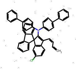 C=C/C=C\C1=C(N(c2ccc(-c3ccccc3)cc2)c2ccc(-c3ccccc3)cc2)C2(c3cc(Cl)ccc31)c1ccccc1-c1ccccc12